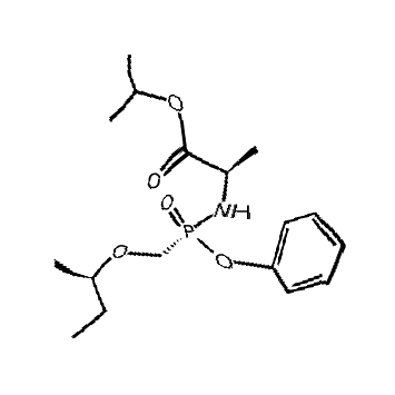 CC[C@@H](C)OC[P@](=O)(N[C@H](C)C(=O)OC(C)C)Oc1ccccc1